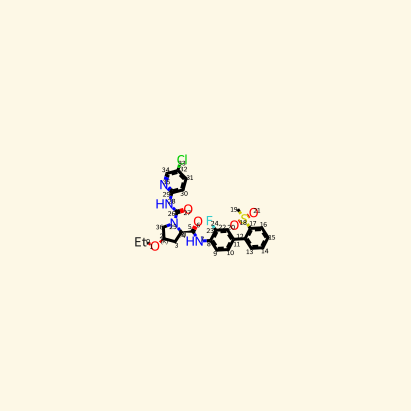 CCO[C@@H]1C[C@H](C(=O)Nc2ccc(-c3ccccc3S(C)(=O)=O)cc2F)N(C(=O)Nc2ccc(Cl)cn2)C1